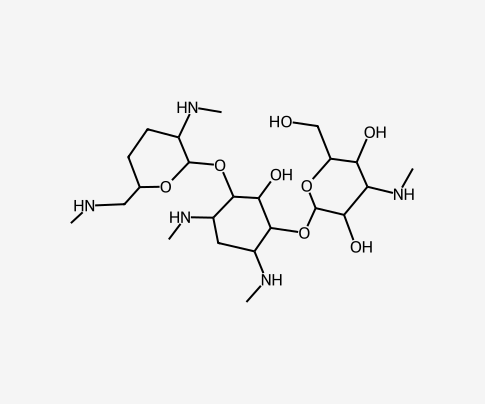 CNCC1CCC(NC)C(OC2C(NC)CC(NC)C(OC3OC(CO)C(O)C(NC)C3O)C2O)O1